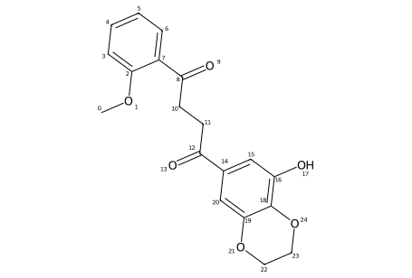 COc1ccccc1C(=O)CCC(=O)c1cc(O)c2c(c1)OCCO2